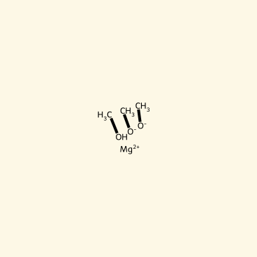 CO.C[O-].C[O-].[Mg+2]